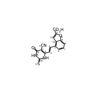 N#Cc1c(/C=C/c2cccc3oc(C(=O)O)cc23)[nH]c(=S)[nH]c1=O